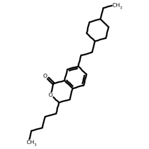 CCCCCC1Cc2ccc(CCC3CCC(CC)CC3)cc2C(=O)O1